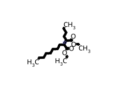 CCCCCCCC/C(C(=O)OCC)=C(\CCCC)C(=O)OCC